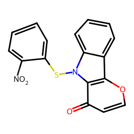 O=c1ccoc2c3ccccc3n(Sc3ccccc3[N+](=O)[O-])c12